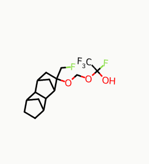 OC(F)(OCOC1(CF)CC2CC1C1C3CCC(C3)C21)C(F)(F)F